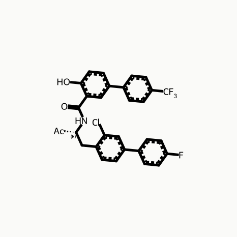 CC(=O)[C@@H](Cc1ccc(-c2ccc(F)cc2)cc1Cl)NC(=O)c1cc(-c2ccc(C(F)(F)F)cc2)ccc1O